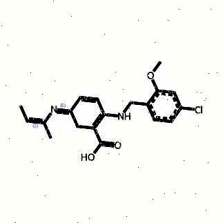 C/C=C(C)\N=C1\C=CC(NCc2ccc(Cl)cc2OC)=C(C(=O)O)C1